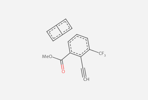 C#Cc1c(C(=O)OC)cccc1C(F)(F)F.c1cc2ccc1-2